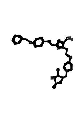 Cc1oc(COc2ccc(OCc3ccccc3)cc2)nc1CCOc1ccc(CC2SC(=O)NC2=O)cc1